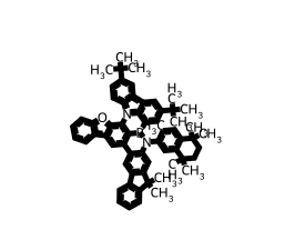 Cc1cc2c(cc1N1B3c4c(cc5c(oc6ccccc65)c4-n4c5ccc(C(C)(C)C)cc5c5cc(C(C)(C)C)cc3c54)-c3cc4c(cc31)C(C)(C)c1ccccc1-4)C(C)(C)CCC2(C)C